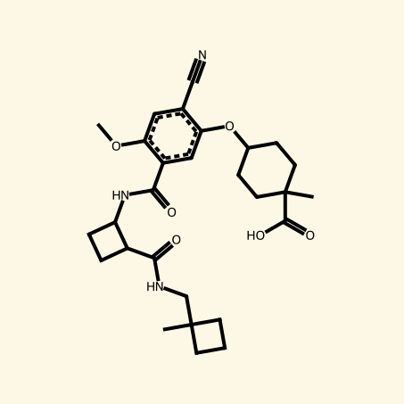 COc1cc(C#N)c(OC2CCC(C)(C(=O)O)CC2)cc1C(=O)NC1CCC1C(=O)NCC1(C)CCC1